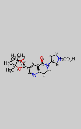 CC1(C)OB(c2cnc3c(c2)C(=O)N(C2CCN(C(=O)O)C2)CC3)OC1(C)C